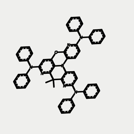 CC1(C)c2nc(N(c3ccccc3)c3ccccc3)ccc2B2c3ccc(N(c4ccccc4)c4ccccc4)nc3Oc3cc(N(c4ccccc4)c4ccccc4)nc1c32